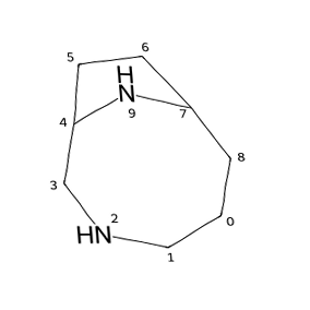 C1CNCC2CCC(C1)N2